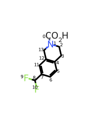 O=C(O)N1CCc2ccc(C(F)F)cc2C1